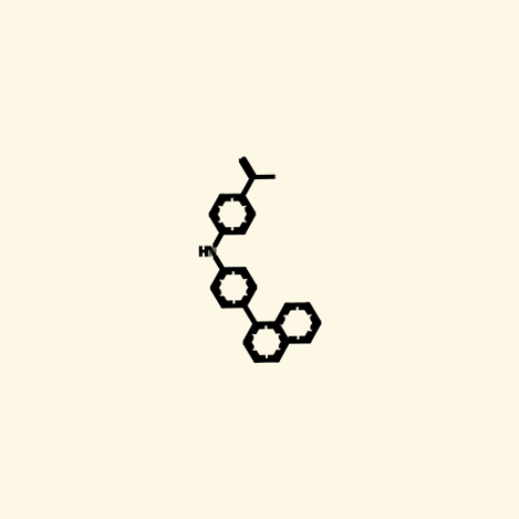 C=C(C)c1ccc(Nc2ccc(-c3cccc4ccccc34)cc2)cc1